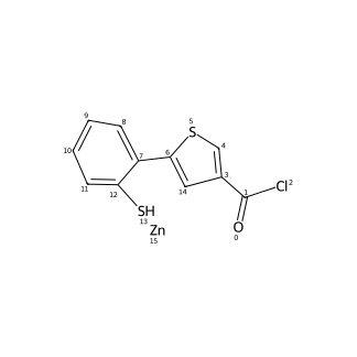 O=C(Cl)c1csc(-c2ccccc2S)c1.[Zn]